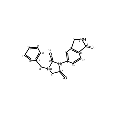 O=C1NCc2cc(N3C(=O)CN(Cc4ccccc4)C3=O)ccc21